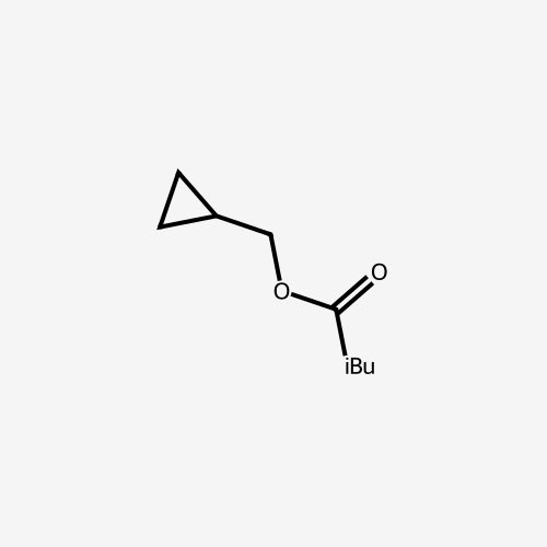 CCC(C)C(=O)OCC1CC1